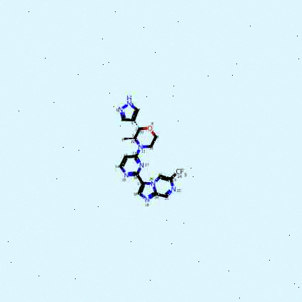 C[C@H]1[C@H](c2cn[nH]c2)OCCN1c1ccnc(-c2cnc3cnc(C(F)(F)F)cn23)n1